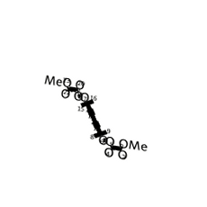 COC(=O)C(=O)OOC(C)(C)C#CC#CC(C)(C)OOC(=O)C(=O)OC